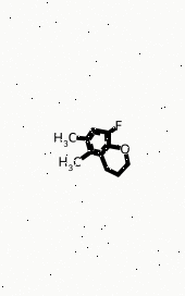 Cc1cc(F)c2c(c1C)CCCO2